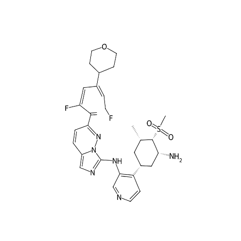 C=C(/C(F)=C\C(=C/CF)C1CCOCC1)c1ccc2cnc(Nc3cnccc3[C@H]3C[C@@H](N)[C@@H](S(C)(=O)=O)[C@@H](C)C3)n2n1